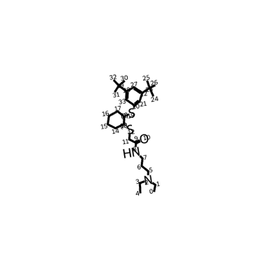 CCN(CC)CCCNC(=O)CS[C@@H]1CCCC[C@H]1Sc1cc(C(C)(C)C)cc(C(C)(C)C)c1